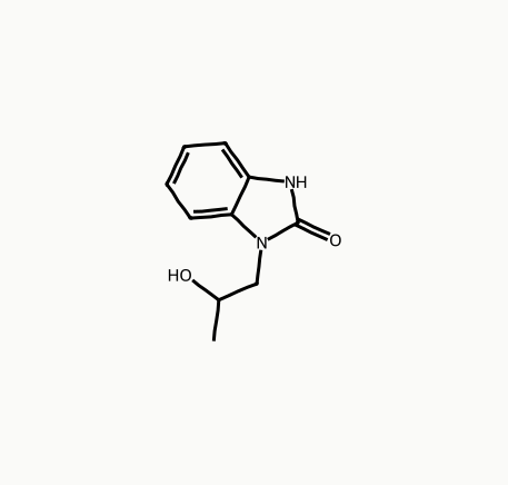 CC(O)Cn1c(=O)[nH]c2ccccc21